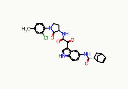 Cc1ccc(N2CCC(NC(=O)C(=O)c3c[nH]c4ccc(NC(=O)[C@@H]5CC6C=CC5C6)cc34)C2=O)c(Cl)c1